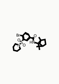 CC12CCC(C1)C(C)(C)C2NC(=O)c1ccc(Br)c(S(=O)(=O)N2CCCCC2)c1